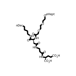 CCCCCCCCCCCCCCNC(=O)[C@H](CC(=O)NCCC(=O)N[C@@H](CCC(=O)O)C(=O)O)NC(=O)COCCOCCOCCCCCCC